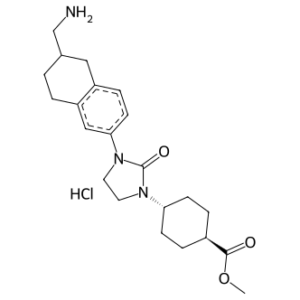 COC(=O)[C@H]1CC[C@H](N2CCN(c3ccc4c(c3)CCC(CN)C4)C2=O)CC1.Cl